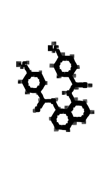 Cc1ccc(C(=O)Oc2cccc3cccc(OC(=O)c4ccc(C)cc4)c23)cc1